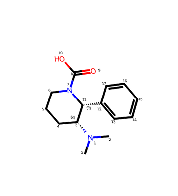 CN(C)[C@@H]1CCCN(C(=O)O)[C@@H]1c1ccccc1